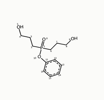 O=P(CCCO)(CCCO)Oc1ccccc1